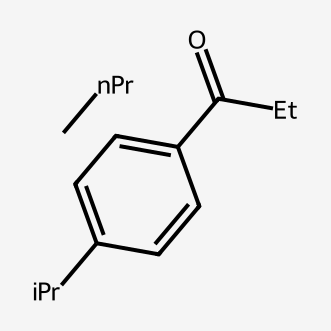 CCC(=O)c1ccc(C(C)C)cc1.CCCC